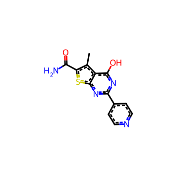 Cc1c(C(N)=O)sc2nc(-c3ccncc3)nc(O)c12